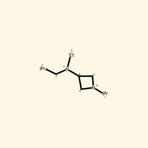 CCN(CC(C)C)C1CN(C(C)C)C1